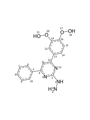 NNc1nc(-c2ccccc2)cc(-c2ccc(OO)c(OO)c2)n1